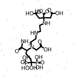 NC(=O)C(CCC(O)(P(=O)(O)O)P(=O)(O)O)N(CCNCCNC(CC(=O)O)(CC(=O)O)C(=O)O)CC(=O)O